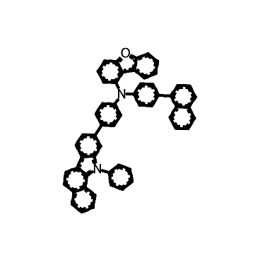 c1ccc(-n2c3cc(-c4ccc(N(c5ccc(-c6cccc7ccccc67)cc5)c5cccc6oc7ccccc7c56)cc4)ccc3c3ccc4ccccc4c32)cc1